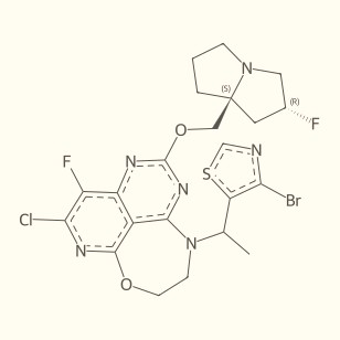 CC(c1scnc1Br)N1CCOc2nc(Cl)c(F)c3nc(OC[C@@]45CCCN4C[C@H](F)C5)nc1c23